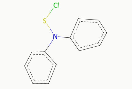 ClSN(c1ccccc1)c1ccccc1